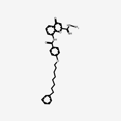 N=C(NN)c1cc(=O)c2cccc(NC(=O)c3ccc(OCCCCCCCCc4ccccc4)cc3)c2o1